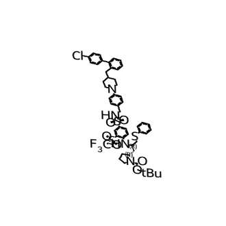 CC(C)(C)OC(=O)N1CCC[C@@H]1C[C@H](CSc1ccccc1)Nc1ccc(S(=O)(=O)NCc2ccc(N3CCC(Cc4ccccc4-c4ccc(Cl)cc4)CC3)cc2)cc1S(=O)(=O)C(F)(F)F